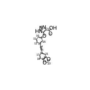 O=C(O)c1nn[nH]c1Oc1cccc(C#Cc2ccc3c(c2)OCO3)c1